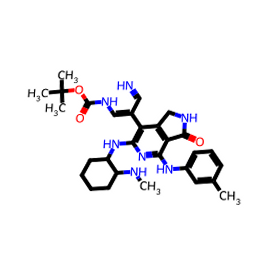 CNC1CCCCC1Nc1nc(Nc2cccc(C)c2)c2c(c1/C(C=N)=C/NC(=O)OC(C)(C)C)CNC2=O